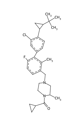 Cc1c(CN2CCN(C(=O)C3CC3)C(C)C2)ccc(F)c1-c1ccc(C2CC2C(C)(C)C)c(Cl)c1